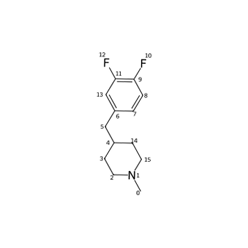 CN1CCC(Cc2ccc(F)c(F)c2)CC1